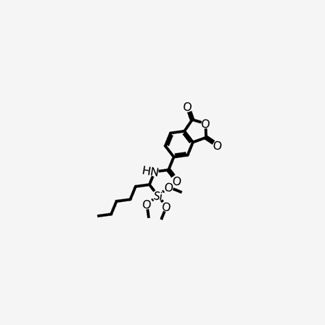 CCCCCC(NC(=O)c1ccc2c(c1)C(=O)OC2=O)[Si](OC)(OC)OC